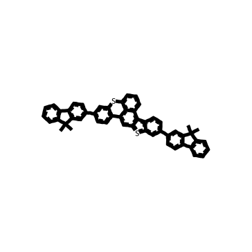 CC1(C)c2ccccc2-c2ccc(-c3ccc4c(c3)Sc3cccc5c3c-4cc3sc4cc(-c6ccc7c(c6)C(C)(C)c6ccccc6-7)ccc4c35)cc21